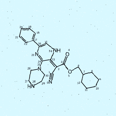 N#CC(C(=O)OCC1CCCCC1)=C1NC=C(c2ccccc2)N=C1N1CCNCC1